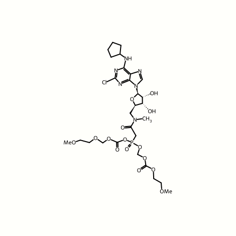 COCCOCOC(=O)OP(=O)(CC(=O)N(C)C[C@H]1O[C@@H](n2cnc3c(NC4CCCC4)nc(Cl)nc32)[C@H](O)[C@@H]1O)OCOC(=O)OCCOC